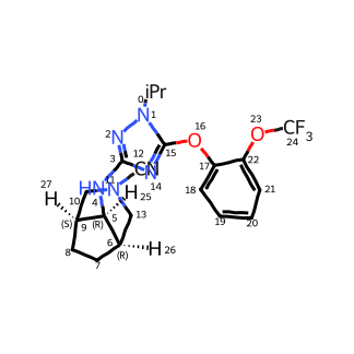 CC(C)n1nc(N[C@H]2[C@@H]3CC[C@H]2CN(C#N)C3)nc1Oc1ccccc1OC(F)(F)F